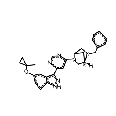 CC1(Oc2ccc3[nH]nc(-c4cc(N5C[C@@H]6CC5CN6Cc5ccccc5)ncn4)c3c2)CC1